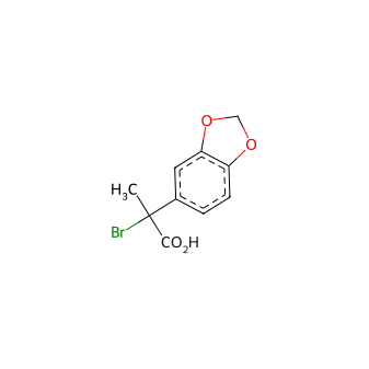 CC(Br)(C(=O)O)c1ccc2c(c1)OCO2